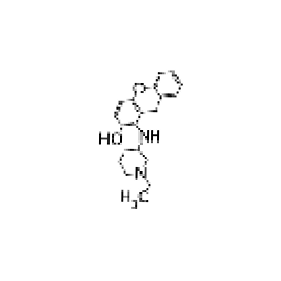 CCN1CCCC(Nc2c(O)ccc3c2Cc2ccccc2O3)C1